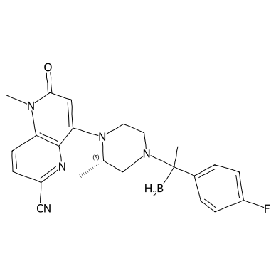 BC(C)(c1ccc(F)cc1)N1CCN(c2cc(=O)n(C)c3ccc(C#N)nc23)[C@@H](C)C1